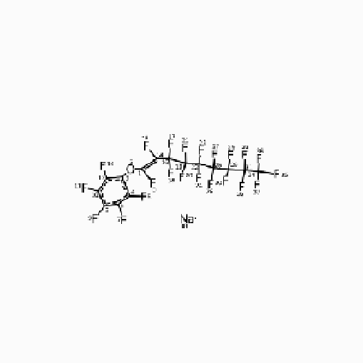 FC(Oc1c(F)c(F)c(F)c(F)c1F)=C(F)C(F)(F)C(F)(F)C(F)(F)C(F)(F)C(F)(F)C(F)(F)C(F)(F)F.[Na]